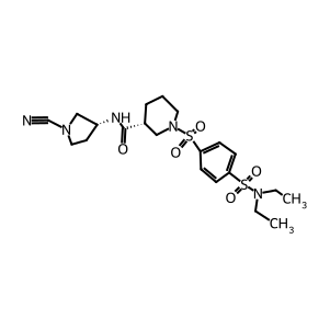 CCN(CC)S(=O)(=O)c1ccc(S(=O)(=O)N2CCC[C@@H](C(=O)N[C@@H]3CCN(C#N)C3)C2)cc1